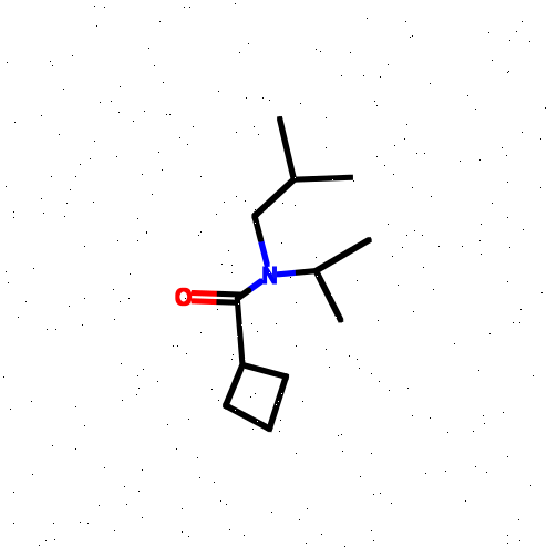 CC(C)CN(C(=O)C1CCC1)C(C)C